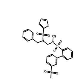 CS(=O)(=O)c1cccc(-c2ccccc2S(=O)(=O)N(C#N)CN(Cc2ccccc2)S(=O)(=O)c2cccs2)c1